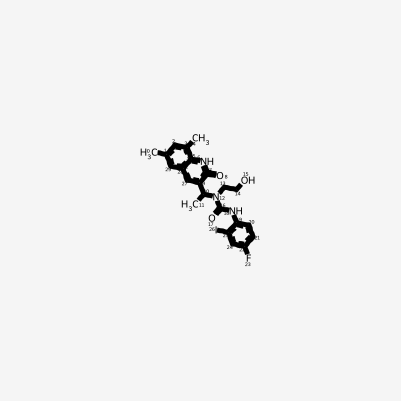 Cc1cc(C)c2[nH]c(=O)c(C(C)N(CCO)C(=O)Nc3ccc(F)cc3I)cc2c1